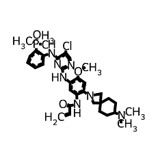 C=CC(=O)Nc1cc(Nc2ncc(Cl)c(Nc3ccccc3P(C)(C)=O)n2)c(OC)cc1N1CC2(CCC(N(C)C)CC2)C1